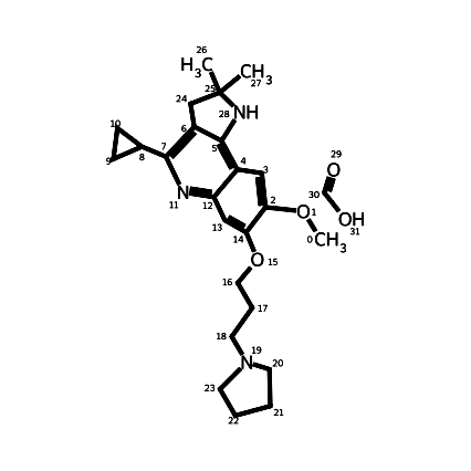 COc1cc2c3c(c(C4CC4)nc2cc1OCCCN1CCCC1)CC(C)(C)N3.O=CO